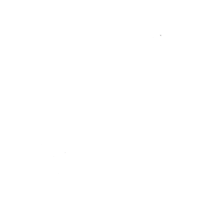 CCCCCCCCCCCCCCCCCCCCOC(=O)C(C)(C)C